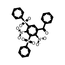 O=C(c1ccccc1)c1cc(S(=O)(=O)c2ccccc2)c([N+](=O)[O-])c(S(=O)(=O)c2ccccc2)c1[N+](=O)[O-]